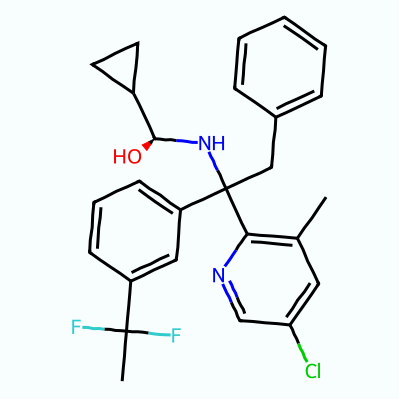 Cc1cc(Cl)cnc1C(Cc1ccccc1)(N[C@@H](O)C1CC1)c1cccc(C(C)(F)F)c1